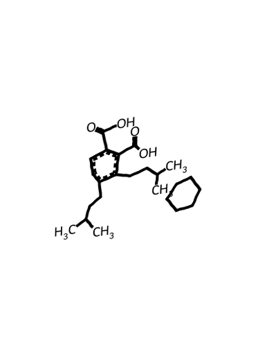 C1CCCCC1.CC(C)CCc1ccc(C(=O)O)c(C(=O)O)c1CCC(C)C